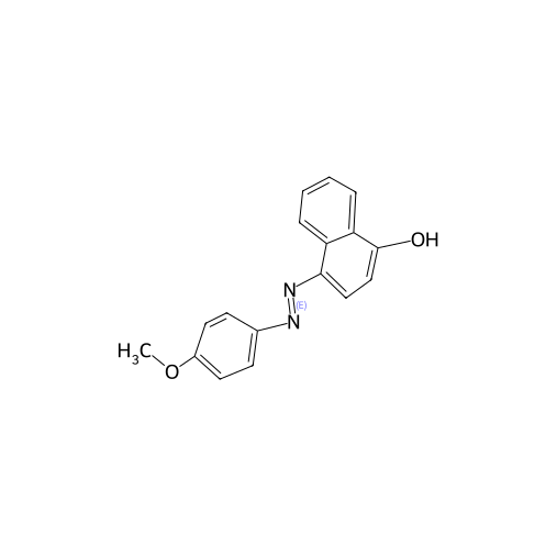 COc1ccc(/N=N/c2ccc(O)c3ccccc23)cc1